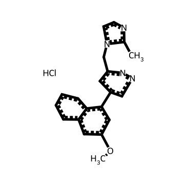 COc1cc(-c2cnnc(Cn3ccnc3C)c2)c2ccccc2c1.Cl